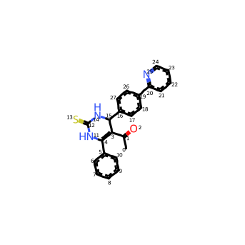 CC(=O)C1=C(c2ccccc2)NC(=S)NC1c1ccc(-c2ccccn2)cc1